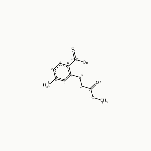 COC(=O)CSc1cc(C)ccc1[N+](=O)[O-]